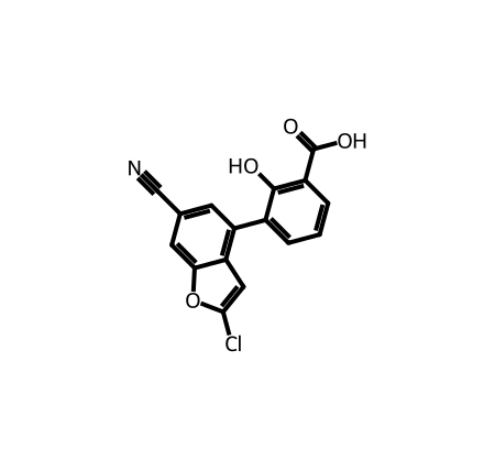 N#Cc1cc(-c2cccc(C(=O)O)c2O)c2cc(Cl)oc2c1